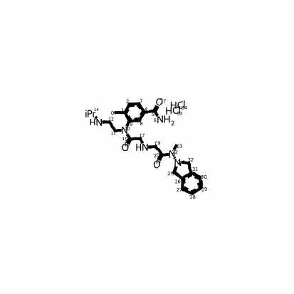 Cc1ccc(C(N)=O)cc1N(CCNC(C)C)C(=O)CNCC(=O)N(C)N1Cc2ccccc2C1.Cl.Cl